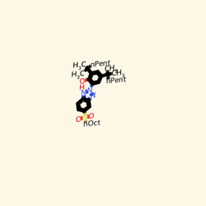 CCCCCCCCS(=O)(=O)c1ccc2nn(-c3cc(C(C)(C)CCCCC)cc(C(C)(C)CCCCC)c3O)nc2c1